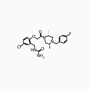 C[C@@H]1CN(Cc2ccc(F)cc2)[C@@H](C)CN1C(=O)COc1ccc(Cl)cc1CNC(N)=O